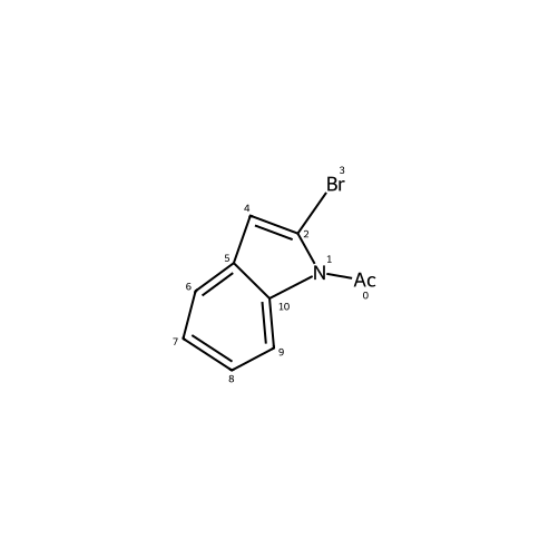 CC(=O)n1c(Br)cc2ccccc21